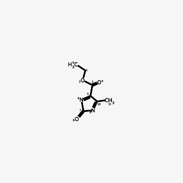 CCOC(=O)C1=NC(=O)N=C1C